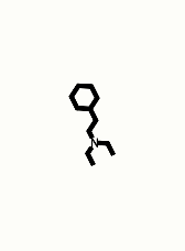 CCN(CC)CCC1CCCCC1